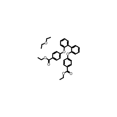 CCOC(=O)c1ccc(Oc2ccccc2-c2ccccc2Oc2ccc(C(=O)OCC)cc2)cc1.CCOCC